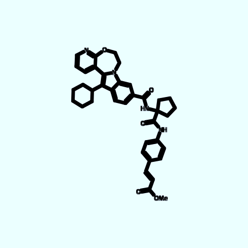 COC(=O)/C=C/c1ccc(NC(=O)C2(NC(=O)c3ccc4c(C5CCCCC5)c5n(c4c3)CCOc3ncccc3-5)CCCC2)cc1